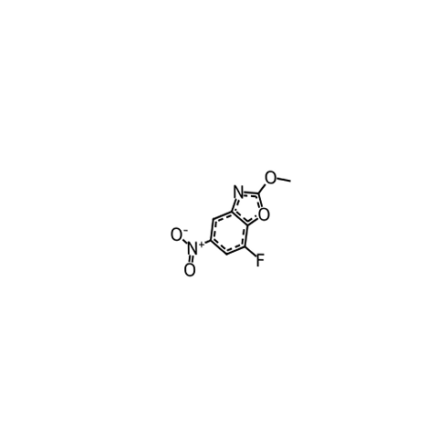 COc1nc2cc([N+](=O)[O-])cc(F)c2o1